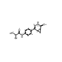 CCCC(Br)C(=O)Nc1ccc(C2=NNC(=O)C3CC23)cc1